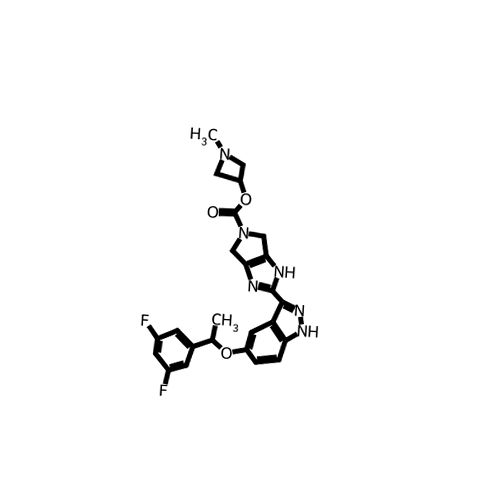 CC(Oc1ccc2[nH]nc(-c3nc4c([nH]3)CN(C(=O)OC3CN(C)C3)C4)c2c1)c1cc(F)cc(F)c1